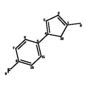 CC1=CC=C(c2ccc(F)cc2)C1